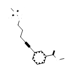 COC(=O)c1cccc(C#CCCCOS(C)(=O)=O)c1